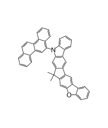 CC1(C)c2cc3oc4ccccc4c3cc2-c2cc3c4ccccc4n(-c4cc5c6ccccc6ccc5c5ccccc45)c3cc21